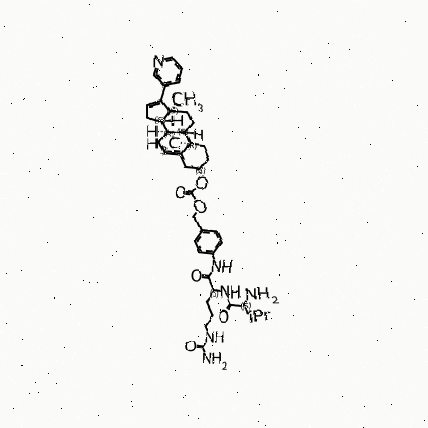 CC(C)[C@H](N)C(=O)N[C@@H](CCCNC(N)=O)C(=O)Nc1ccc(COC(=O)O[C@H]2CC[C@@]3(C)C(=CC[C@@H]4[C@@H]3CC[C@]3(C)C(c5cccnc5)=CC[C@@H]43)C2)cc1